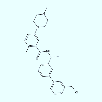 Cc1ccc(N2CCN(C)CC2)cc1C(=O)N[C@H](C)c1cccc(-c2cccc(CCl)c2)c1